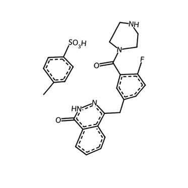 Cc1ccc(S(=O)(=O)O)cc1.O=C(c1cc(Cc2n[nH]c(=O)c3ccccc23)ccc1F)N1CCNCC1